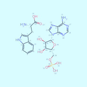 N[C@@H](Cc1c[nH]c2ccccc12)C(=O)O.Nc1ncnc2c1ncn2[C@@H]1O[C@H](COP(=O)(O)O)[C@@H](O)[C@H]1O